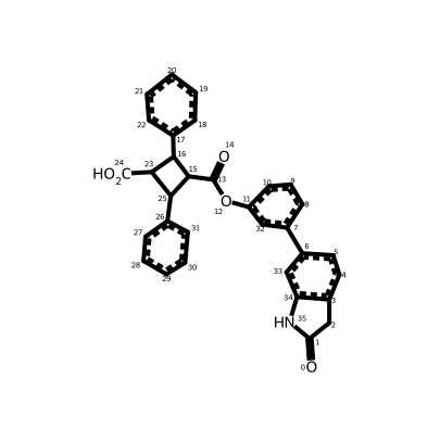 O=C1Cc2ccc(-c3cccc(OC(=O)C4C(c5ccccc5)C(C(=O)O)C4c4ccccc4)c3)cc2N1